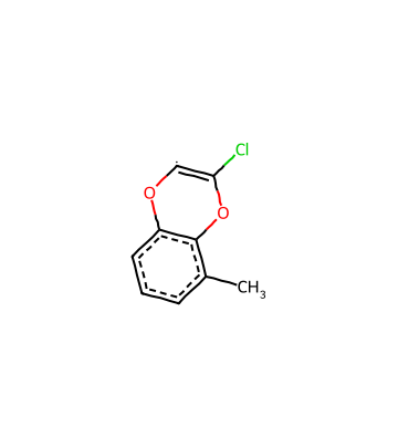 Cc1cccc2c1OC(Cl)=[C]O2